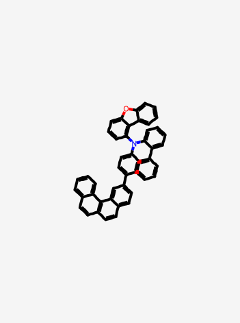 c1ccc(-c2ccccc2N(c2ccc(-c3ccc4ccc5ccc6ccccc6c5c4c3)cc2)c2cccc3oc4ccccc4c23)cc1